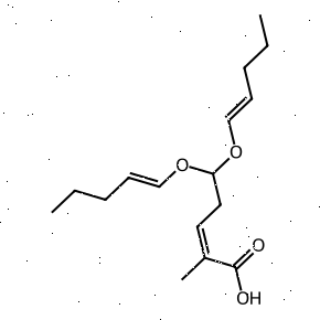 CCCC=COC(CC=C(C)C(=O)O)OC=CCCC